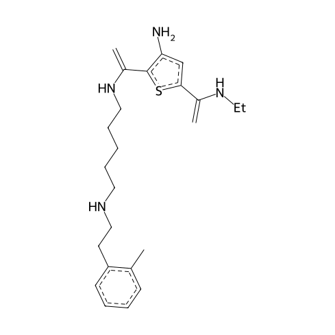 C=C(NCC)c1cc(N)c(C(=C)NCCCCCNCCc2ccccc2C)s1